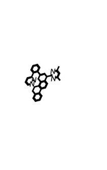 Cc1cc(C)nc(C2C=C(c3ccccc3-c3cccnn3)Cc3c2ccc2c3CCc3ccccc3-2)n1